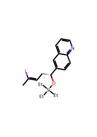 CC[Si](CC)(CC)O[C@H](CC=C(C)I)c1ccc2ncccc2c1